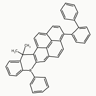 CC1(C)c2ccccc2B(c2ccccc2)c2cc3ccc4c(-c5ccccc5-c5ccccc5)ccc5ccc(c21)c3c54